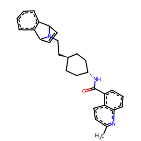 Cc1ccc2c(C(=O)N[C@H]3CC[C@H](CCN4C5C=CC4c4ccccc45)CC3)cccc2n1